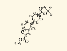 CCOC(=O)c1cc2c(C)c(N3CCN(C(=O)OC(C)(C)C)CC3)ccc2o1